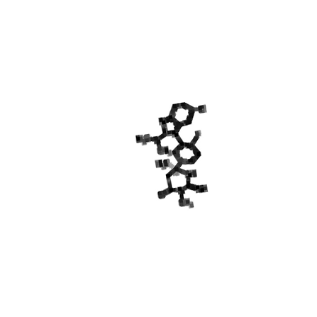 CN1C(=N)N[C@](C)(c2ccc(F)c(-n3c(N(C)C)nc4ccc(Cl)cc43)c2)CC1=O